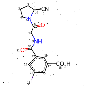 N#C[C@@H]1CCCN1C(=O)CNC(=O)c1cc(I)cc(C(=O)O)c1